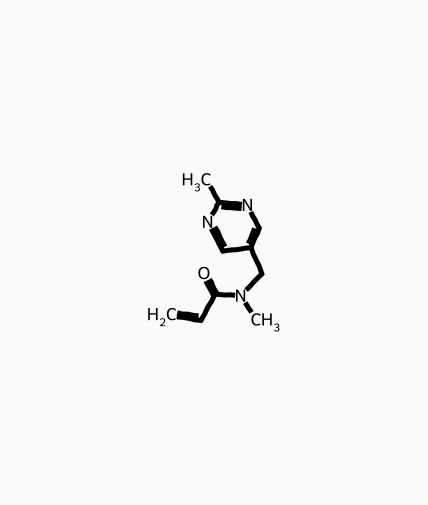 C=CC(=O)N(C)Cc1cnc(C)nc1